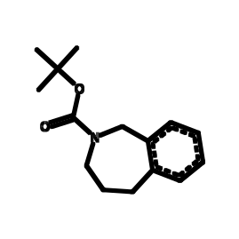 CC(C)(C)OC(=O)N1CCCc2ccccc2C1